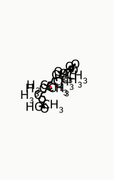 CC[C@H](C(=O)OCc1oc(=O)oc1C)C(C)(C)CCCC(C)(C)[C@@](C)(CC)CC[C@]1(C)CC[C@@](C)(C(=O)O)CC1